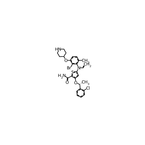 C=CN(c1cc(O[C@H](C)c2ccccc2Cl)c(C(N)=O)s1)c1c(C)ccc(OC2CCNCC2)c1Br